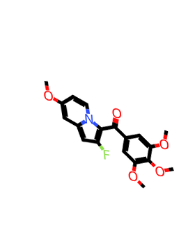 COc1ccn2c(C(=O)c3cc(OC)c(OC)c(OC)c3)c(F)cc2c1